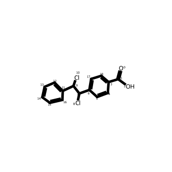 O=C(O)c1ccc(C(Cl)C(Cl)c2ccccc2)cc1